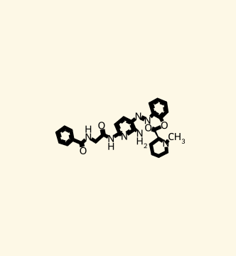 CN1CCCC[C@H]1C(=O)Oc1ccccc1/N=N/c1ccc(NC(=O)CNC(=O)c2ccccc2)nc1N